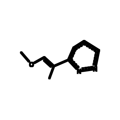 CO/C=C(\C)c1cccnn1